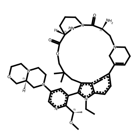 CCn1c(-c2cc(N3CCN4CCOC[C@@H]4C3)cnc2[C@H](C)OC)c2c3cc(ccc31)C1=CCCN(C1)C[C@H](N)C(=O)N1CCC[C@H](N1)C(=O)OCC(C)(C)C2